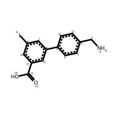 NCc1ccc(-c2cc(I)cc(C(=O)O)c2)cc1